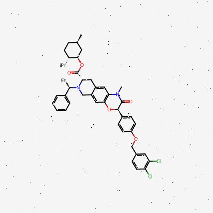 CC[C@H](c1ccccc1)N1Cc2cc3c(cc2C[C@H]1C(=O)O[C@@H]1C[C@H](C)CC[C@H]1C(C)C)N(C)C(=O)[C@@H](c1ccc(OCc2ccc(Cl)c(Cl)c2)cc1)O3